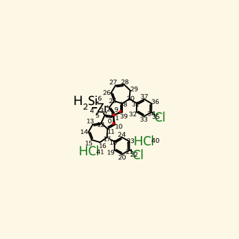 CC1=[C]([Zr]([CH3])([CH3])(=[SiH2])[C]2=C(C)C=C3C2=CC=CC[C@@H]3c2ccc(Cl)cc2)C2=CC=CCC(c3ccc(Cl)cc3)C2=C1.Cl.Cl